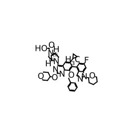 Cc1c(F)cc2c(cnn2C2CCCCO2)c1-c1c(C2CC2)cc2c(N3C[C@@H]4C[C@H]3CN4C(=O)O)nc(OC3CCOCC3)nc2c1OCc1ccccc1